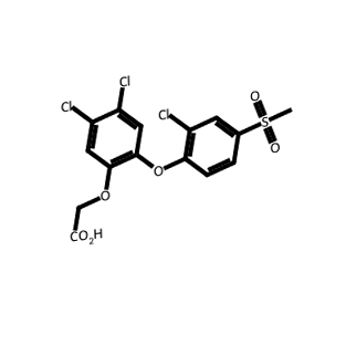 CS(=O)(=O)c1ccc(Oc2cc(Cl)c(Cl)cc2OCC(=O)O)c(Cl)c1